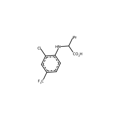 CC(C)C(Nc1ccc(C(F)(F)F)cc1Cl)C(=O)O